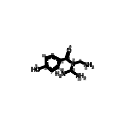 NCN(C(=O)c1ccc(O)cc1)C(N)N